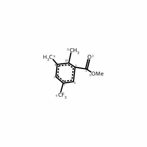 COC(=O)c1cc(C(F)(F)F)cc(C)c1C